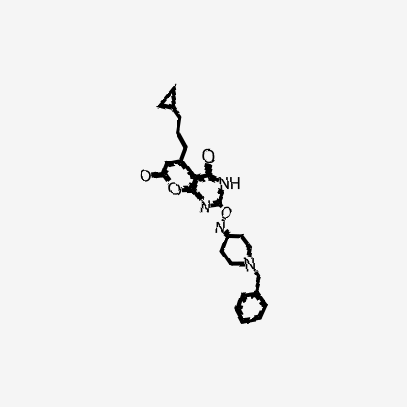 O=c1cc(CCCC2CC2)c2c(=O)[nH]c(ON=C3CCN(Cc4ccccc4)CC3)nc2o1